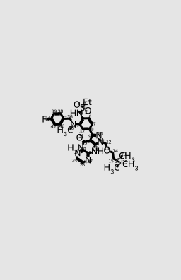 CCS(=O)(=O)Nc1ccc(-c2nn(COCC[Si](C)(C)C)c(Nc3cnccn3)c2C(N)=O)cc1N(C)Cc1ccc(F)cc1